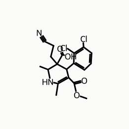 COC(=O)C1=C(C)NC(C)C(CCC#N)(C(=O)O)C1c1cccc(Cl)c1Cl